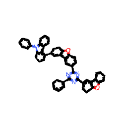 c1ccc(-c2nc(-c3ccc4oc5ccccc5c4c3)nc(-c3ccc4oc5ccc(-c6cccc7c6c6ccccc6n7-c6ccccc6)cc5c4c3)n2)cc1